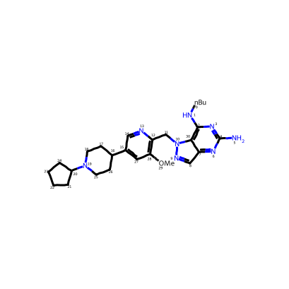 CCCCNc1nc(N)nc2cnn(Cc3ncc(C4CCN(C5CCCC5)CC4)cc3OC)c12